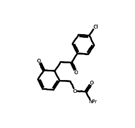 CCCC(=O)OCC1=CC=CC(=O)C1CC(=O)c1ccc(Cl)cc1